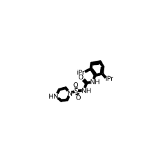 CC(C)c1cccc(C(C)C)c1NC(=O)NS(=O)(=O)N1CCNCC1